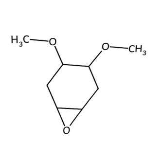 COC1CC2OC2CC1OC